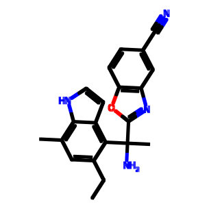 CCc1cc(C)c2[nH]ccc2c1C(C)(N)c1nc2cc(C#N)ccc2o1